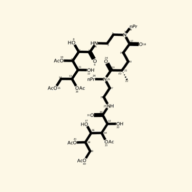 CCCN(CCNC(=O)C(O)C(OC(C)=O)C(O)C(COC(C)=O)OC(C)=O)C(=O)CC[C@H](C)C(=O)N(CCC)CCNC(=O)C(O)C(OC(C)=O)C(O)C(COC(C)=O)OC(C)=O